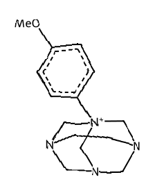 COc1ccc([N+]23CN4CN(CN(C4)C2)C3)cc1